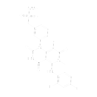 CNS(=O)(=O)Cc1cccc(-n2c(=O)[nH]c(=O)c3c(Nc4ccc(I)cc4F)n(C)c(=O)c(C)c32)c1